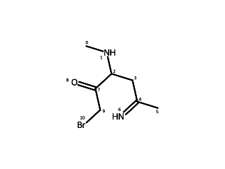 CNC(CC(C)=N)C(=O)CBr